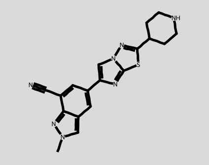 Cn1cc2cc(-c3cn4nc(C5CCNCC5)sc4n3)cc(C#N)c2n1